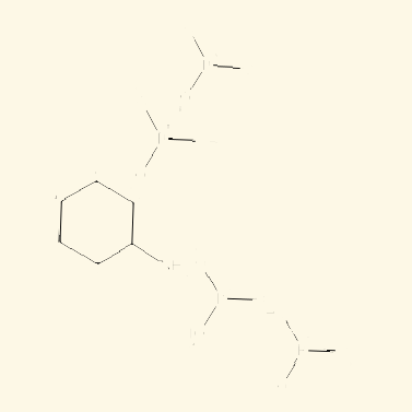 NC1CCCCC1.OB(O)O.OB(O)O.OB(O)O.OB(O)O